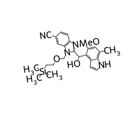 COc1cc(C)c2[nH]ccc2c1C(O)c1nc2ccc(C#N)cc2n1COCC[Si](C)(C)C